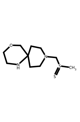 CS(=S)CN1CCC2(CC1)COCCN2